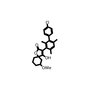 COC1CCCC2(C1)OC(=O)C(c1c(C)cc(C)c(-c3ccc(Cl)cc3)c1C)=C2O